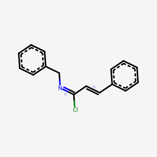 ClC(/C=C/c1ccccc1)=N/Cc1ccccc1